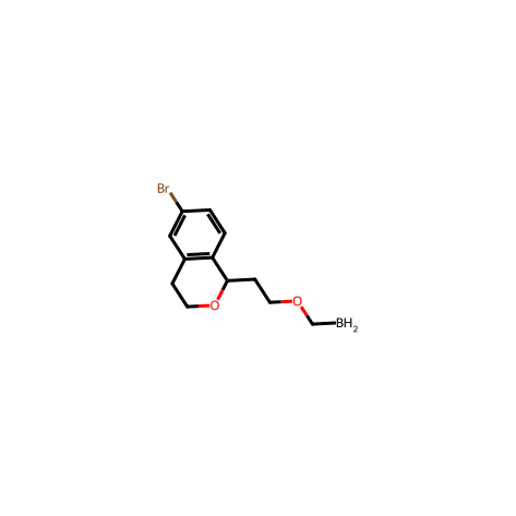 BCOCCC1OCCc2cc(Br)ccc21